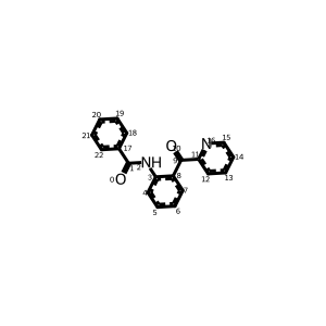 O=C(Nc1ccccc1C(=O)c1ccccn1)c1ccccc1